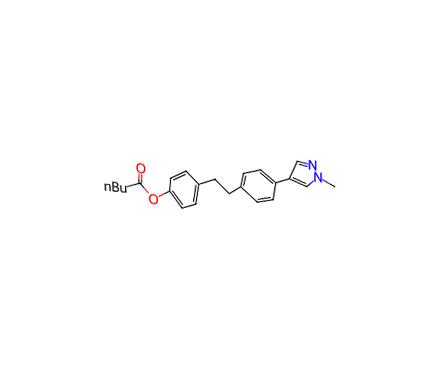 CCCCC(=O)Oc1ccc(CCc2ccc(-c3cnn(C)c3)cc2)cc1